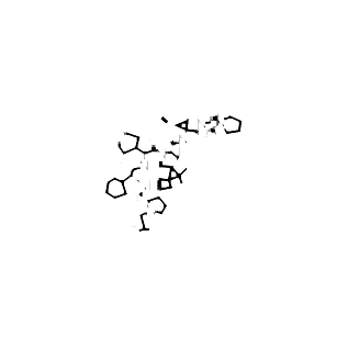 C=C[C@@H]1C[C@]1(NC(=O)[C@@H]1C[C@@]2(CN1C(=O)[C@@H](NC(=O)[C@@H](NC(=O)[C@@H]1CCCN1CC(F)F)C1CCCCC1)C1CCOCC1)C(C)(C)C21CCC1)C(=O)NS(=O)(=O)N1CCCC1